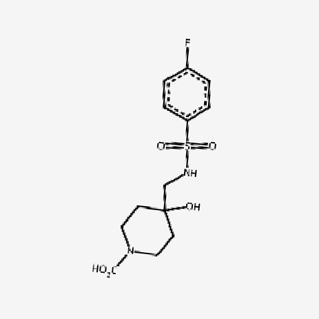 O=C(O)N1CCC(O)(CNS(=O)(=O)c2ccc(F)cc2)CC1